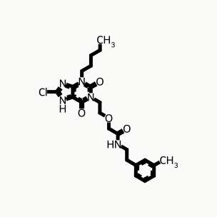 CCCCCn1c(=O)n(CCOCC(=O)NCCc2cccc(C)c2)c(=O)c2[nH]c(Cl)nc21